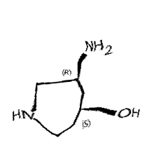 N[C@@H]1CNC[C@@H]1O